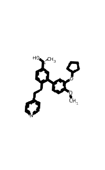 COc1ccc(-c2cc([C@@H](C)O)ccc2CCc2ccncc2)cc1OC1CCCC1